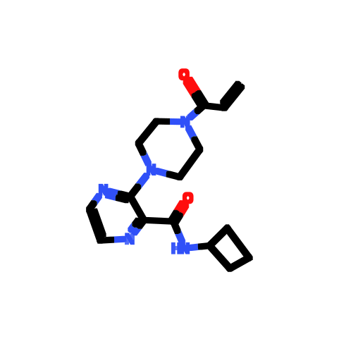 C=CC(=O)N1CCN(c2nccnc2C(=O)NC2CCC2)CC1